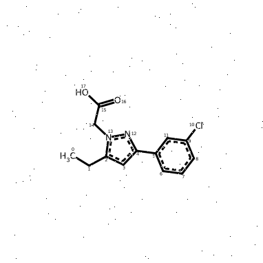 CCc1cc(-c2cccc(Cl)c2)nn1CC(=O)O